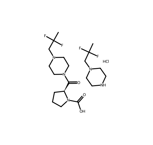 CC(F)(F)CN1CCN(C(=O)[C@@H]2CCCN2C(=O)O)CC1.CC(F)(F)CN1CCNCC1.Cl